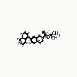 CC(C)(C)OC(=O)N1CCc2ccc(-c3ccnc4cnccc34)cc2C1